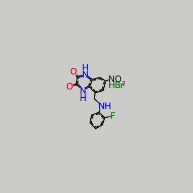 Br.O=c1[nH]c2cc([N+](=O)[O-])cc(CNc3ccccc3F)c2[nH]c1=O